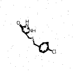 O=c1cc(CSCc2ccc(Cl)cc2)[nH][nH]1